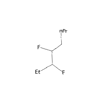 CCCCC(F)C(F)CC